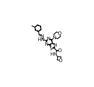 Cc1cccc(/C=N/Nc2nc(N3CCOCC3)c3nc(C(=O)NC4COC4)sc3n2)c1